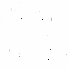 Nc1cccc2cncc(C(=O)O)c12